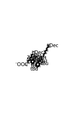 CC(C)(C)c1ccc(OP(O)O)c(C(C)(C)C)c1.CC(C)(C)c1ccc(OP(O)O)c(C(C)(C)C)c1.CCCCCCCCCCCCCCCCCC(=O)[O-].CCCCCCCCCCCCCCCCCC(=O)[O-].[Zn+2]